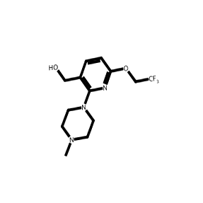 CN1CCN(c2nc(OCC(F)(F)F)ccc2CO)CC1